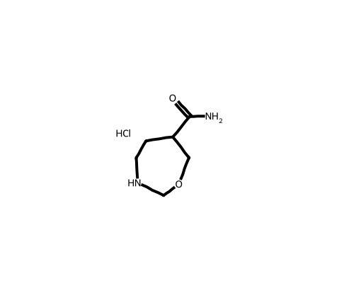 Cl.NC(=O)C1CCNCOC1